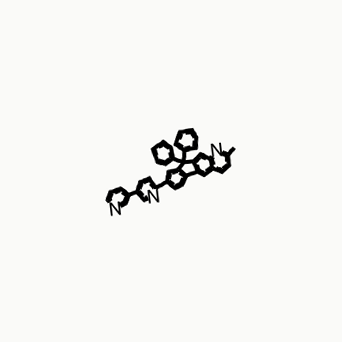 Cc1ccc2cc3c(cc2n1)C(c1ccccc1)(c1ccccc1)c1cc(-c2ccc(-c4cccnc4)cn2)ccc1-3